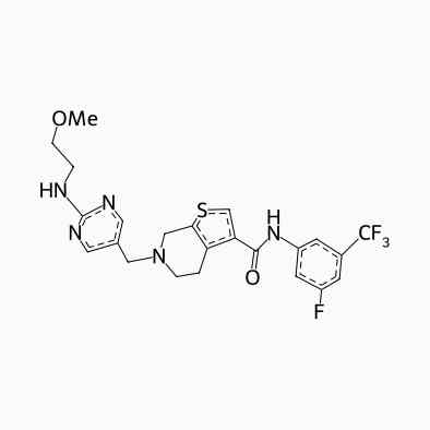 COCCNc1ncc(CN2CCc3c(C(=O)Nc4cc(F)cc(C(F)(F)F)c4)csc3C2)cn1